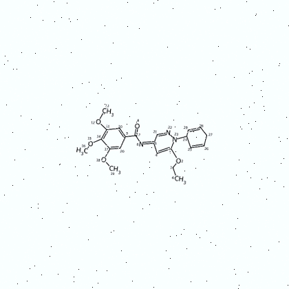 CCOc1cc(=NC(=O)c2cc(OC)c(OC)c(OC)c2)cnn1C1C=CCC=C1